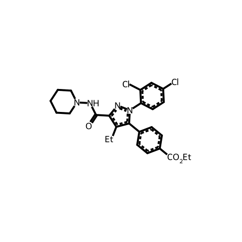 CCOC(=O)c1ccc(-c2c(CC)c(C(=O)NN3CCCCC3)nn2-c2ccc(Cl)cc2Cl)cc1